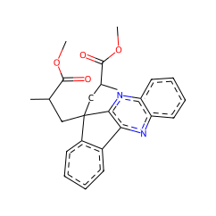 COC(=O)C(C)CC1(CC(C)C(=O)OC)c2ccccc2-c2nc3ccccc3nc21